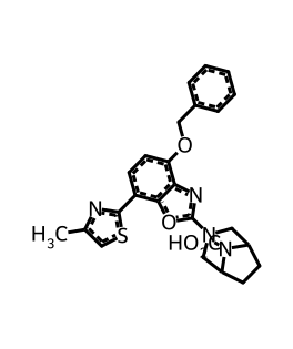 Cc1csc(-c2ccc(OCc3ccccc3)c3nc(N4CC5CCC(C4)N5C(=O)O)oc23)n1